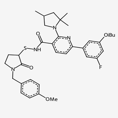 COc1ccc(CN2CCC(SNC(=O)c3ccc(-c4cc(F)cc(OCC(C)C)c4)nc3N3CC(C)CC3(C)C)C2=O)cc1